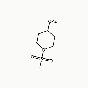 CC(=O)OC1CCN(S(C)(=O)=O)CC1